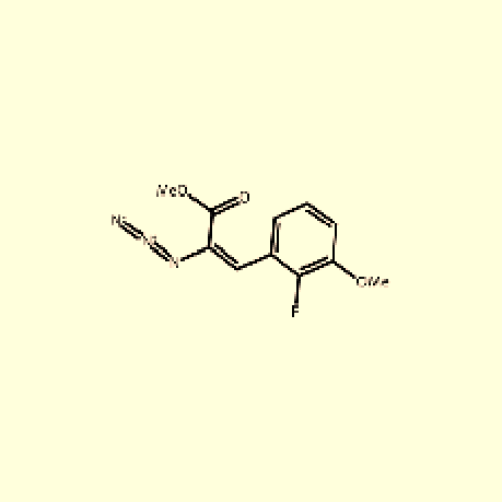 COC(=O)/C(=C\c1cccc(OC)c1F)N=[N+]=[N-]